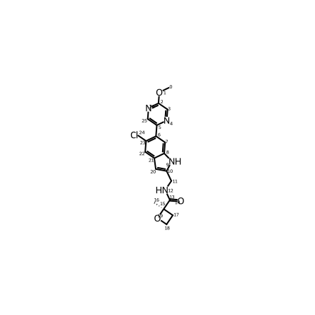 COc1cnc(-c2cc3[nH]c(CNC(=O)[C@@]4(C)CCO4)cc3cc2Cl)cn1